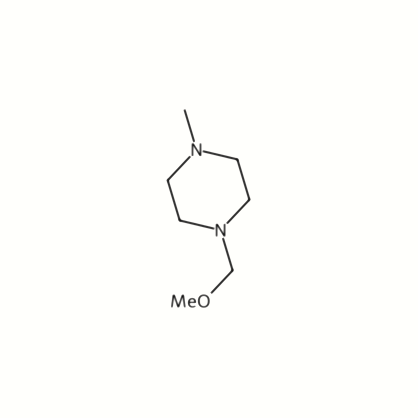 COCN1CCN(C)CC1